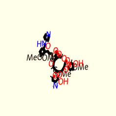 COc1ccc(C(=O)Nc2ccncc2)c(CCCS[C@@H]2C(=O)O[C@@]3(C)[C@H]2[C@@H](C)C(=O)[C@H](C)C[C@@](C)(OC)[C@H](O[C@@H]2O[C@H](C)C[C@H](N(C)C)[C@H]2O)[C@@H](C)[C@H](O[C@H]2C[C@@](C)(OC)[C@@H](O)[C@H](C)O2)[C@@H](C)C(=O)O[C@@H]3C)c1OC